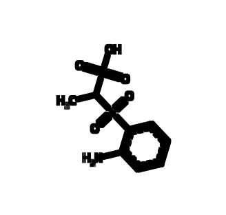 CC(S(=O)(=O)O)S(=O)(=O)c1ccccc1N